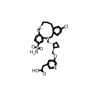 NS(=O)(=O)c1ccc2c(c1)N(C[C@@H]1CC[C@H]1COc1cncc(CC(=O)O)c1)Cc1ccc(Cl)cc1CCCCO2